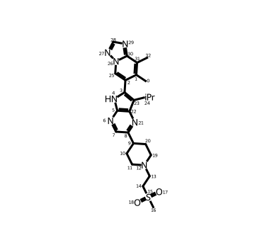 Cc1c(-c2[nH]c3ncc(C4CCN(CCS(C)(=O)=O)CC4)nc3c2C(C)C)cn2ncnc2c1C